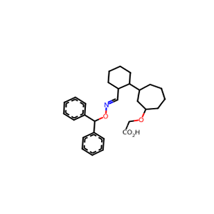 O=C(O)COC1CCCCC(C2CCCCC2C=NOC(c2ccccc2)c2ccccc2)C1